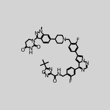 Cn1nc(N2CCC(=O)NC2=O)c2ccc(C3CCN(Cc4ccc(-c5cc6c(-c7ccc(CNC(=O)c8noc(C(C)(C)C)n8)c(F)c7)ncnn6c5)cc4F)CC3)cc21